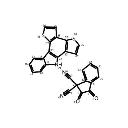 N#CC1(C#N)C(=O)C(=O)c2ccccc21.c1ccc2c(c1)[nH]c1c3ccsc3c3ccsc3c21